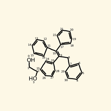 OCCO.c1ccc(CC(=C(c2ccccc2)c2ccccc2)c2ccccc2)cc1